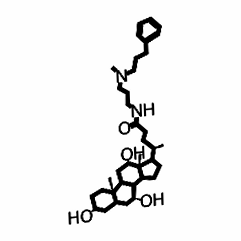 C[C@H](CCC(=O)NCCCN(C)CCCc1ccccc1)C1CCC2C3C(C[C@H](O)[C@@]21C)[C@@]1(C)CC[C@@H](O)CC1C[C@H]3O